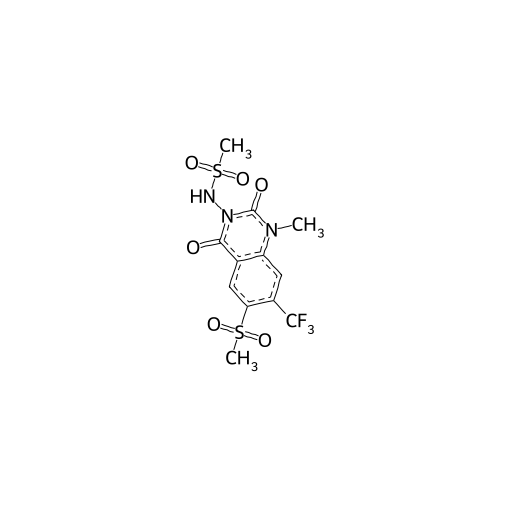 Cn1c(=O)n(NS(C)(=O)=O)c(=O)c2cc(S(C)(=O)=O)c(C(F)(F)F)cc21